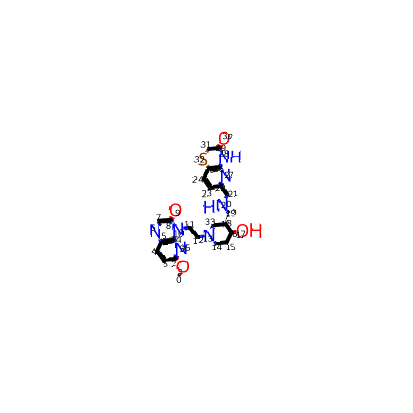 COc1ccc2ncc(=O)n(CCN3CCC(O)[C@@H](CNCc4ccc5c(n4)NC(=O)CS5)C3)c2n1